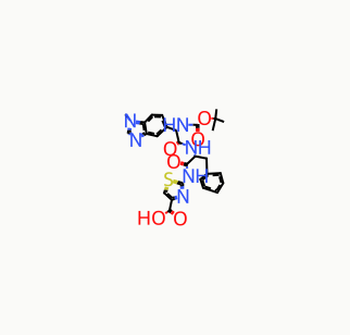 Cn1cnc2cc(C(NC(=O)OC(C)(C)C)C(=O)NC(Cc3ccccc3)C(=O)Nc3nc(C(=O)O)cs3)ccc21